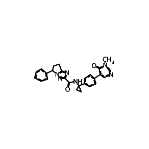 Cn1cncc(-c2ccc(C3(NC(=O)c4nc5n(n4)C(c4ccccc4)CC5)CC3)cc2)c1=O